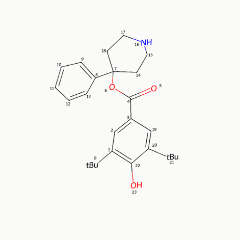 CC(C)(C)c1cc(C(=O)OC2(c3ccccc3)CCNCC2)cc(C(C)(C)C)c1O